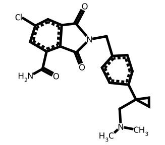 CN(C)CC1(c2ccc(CN3C(=O)c4cc(Cl)cc(C(N)=O)c4C3=O)cc2)CC1